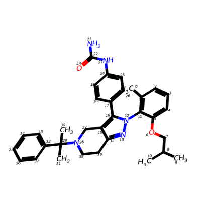 Cc1cccc(OCC(C)C)c1-n1nc2c(c1-c1ccc(NC(N)=O)cc1)CN(C(C)(C)c1ccccc1)CC2